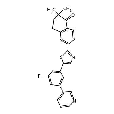 CC1(C)CCc2nc(-c3ncc(-c4cc(F)cc(-c5cccnc5)c4)s3)ccc2C1=O